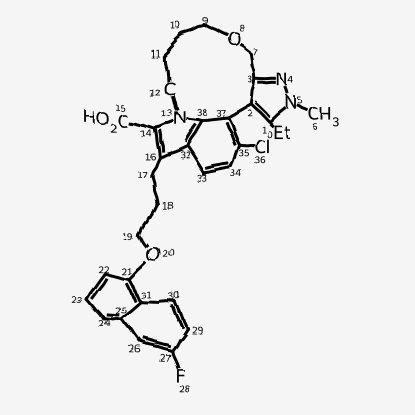 CCc1c2c(nn1C)COCCCCn1c(C(=O)O)c(CCCOc3cccc4cc(F)ccc34)c3ccc(Cl)c-2c31